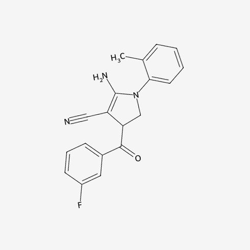 Cc1ccccc1N1CC(C(=O)c2cccc(F)c2)C(C#N)=C1N